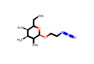 CC(=O)OCC1O[C@@H](OCCN=[N+]=[N-])C(OC(C)=O)[C@@H](C)[C@H]1OC(C)=O